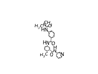 Cc1ccc(NC(=O)c2cccc(NC(=O)N(C)C)c2)cc1C(=O)Nc1cccnc1